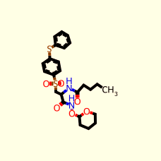 CCCCC(=O)NC(CS(=O)(=O)c1ccc(Sc2ccccc2)cc1)C(=O)NOC1CCCCO1